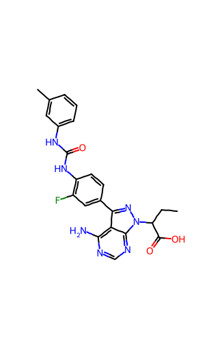 CCC(C(=O)O)n1nc(-c2ccc(NC(=O)Nc3cccc(C)c3)c(F)c2)c2c(N)ncnc21